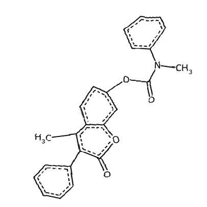 Cc1c(-c2ccccc2)c(=O)oc2cc(OC(=O)N(C)c3ccccc3)ccc12